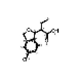 CCC(C(=O)O)C1OCc2cc(Cl)ccc21